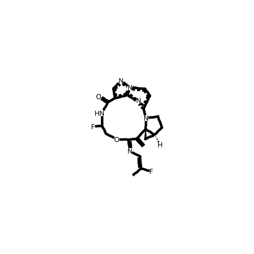 C=C1/C(=N\C=C(/C)F)OCC(F)NC(=O)c2cnn3ccc(nc23)N2CC[C@H]3C[C@]132